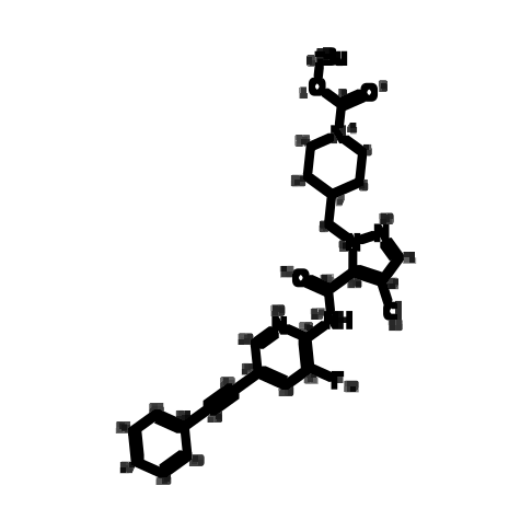 CC(C)(C)OC(=O)N1CCC(Cn2ncc(Cl)c2C(=O)Nc2ncc(C#Cc3ccccc3)cc2F)CC1